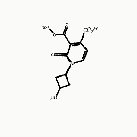 CC(C)(C)OC(=O)c1c(C(=O)O)ccn(C2CC(O)C2)c1=O